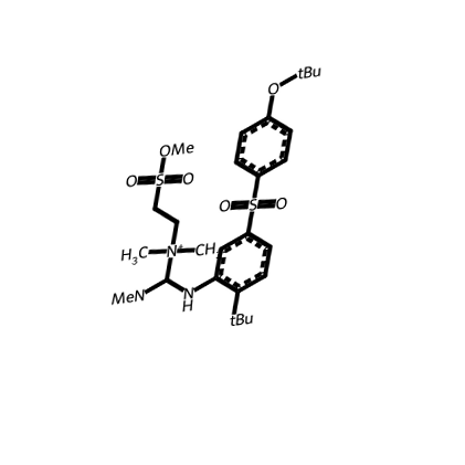 CNC(Nc1cc(S(=O)(=O)c2ccc(OC(C)(C)C)cc2)ccc1C(C)(C)C)[N+](C)(C)CCS(=O)(=O)OC